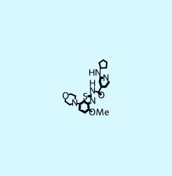 COc1ccc(N2CCOCC2)c2sc(NC(=O)c3ccnc(NC4CCCC4)c3)nc12